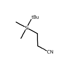 CC(C)(C)[Si](C)(C)CCC#N